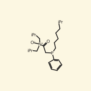 CC(C)CCCCCP(CC(=O)[N+]([O-])(CC(C)C)CC(C)C)c1ccccc1